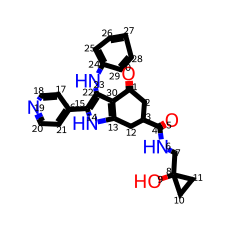 O=C1CC(C(=O)NCC2(O)CC2)Cc2[nH]c(-c3ccncc3)c(Nc3ccccc3)c21